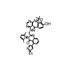 CCn1cc(-c2cccc3nc(Cn4nc(-c5ccc(O)c6c5CC(C)(C)O6)c5c(N)ncnc54)n(-n4c(C)ccc4C)c(=O)c23)cn1